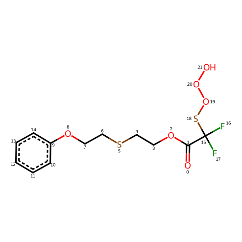 O=C(OCCSCCOc1ccccc1)C(F)(F)SOOO